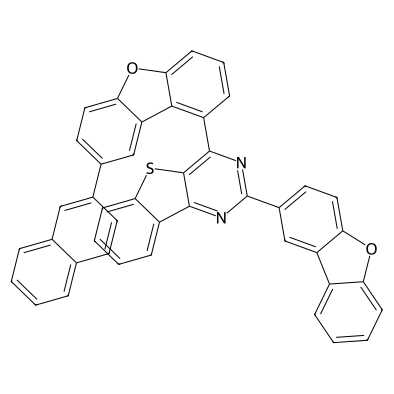 c1ccc2cc(-c3ccc4oc5cccc(-c6nc(-c7ccc8oc9ccccc9c8c7)nc7c6sc6ccccc67)c5c4c3)ccc2c1